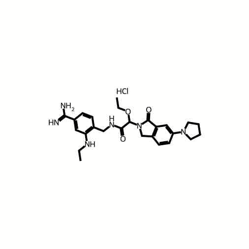 CCNc1cc(C(=N)N)ccc1CNC(=O)C(OCC)N1Cc2ccc(N3CCCC3)cc2C1=O.Cl